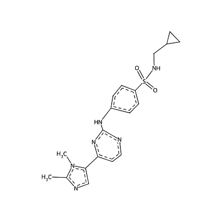 Cc1ncc(-c2ccnc(Nc3ccc(S(=O)(=O)NCC4CC4)cc3)n2)n1C